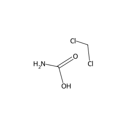 ClCCl.NC(=O)O